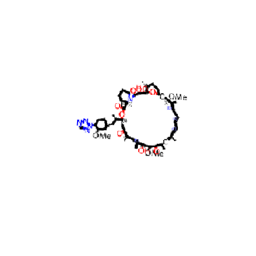 COC1C(=O)C(C)C[C@H](C)/C=C/C=C/C=C(\C)[C@@H](OC)CC2CC[C@@H](C)[C@@](O)(O2)C(=O)C(=O)N2CCCC[C@H]2C(=O)O[C@H]([C@H](C)C[C@@H]2CC[C@H](n3ncnn3)[C@H](OC)C2)CC(=O)[C@H](C)/C=C(\C)[C@H]1O